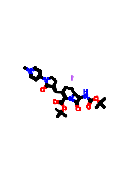 C[n+]1ccc(N2CCC(=CC3=C(C(=O)OC(C)(C)C)N4C(=O)C(NC(=O)OC(C)(C)C)C4CC3)C2=O)cc1.[I-]